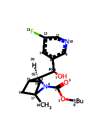 CC(C)(C)OC(=O)N1[C@H]([C@H](O)c2cncc(F)c2)C2CC1(C)C2